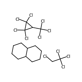 C1CCC2CCCCC2C1.ClC(Cl)(Cl)C1C(Cl)(Cl)C1(Cl)Cl.ClCC(Cl)(Cl)Cl